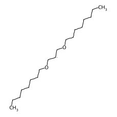 CCCCCCCCOC[CH]COCCCCCCCC